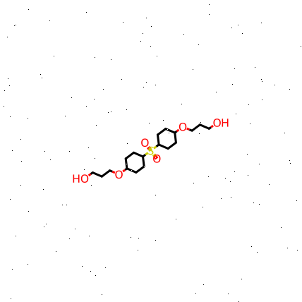 O=S(=O)(C1CCC(OCCCO)CC1)C1CCC(OCCCO)CC1